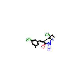 Cc1cc(Br)cc(C=C2C(=O)Nc3nccc(Cl)c32)c1